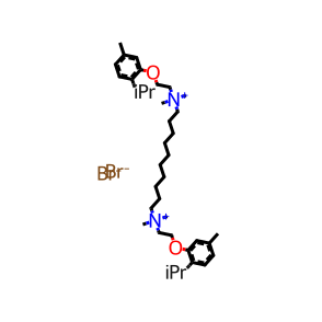 Cc1ccc(C(C)C)c(OCC[N+](C)(C)CCCCCCCCCC[N+](C)(C)CCOc2cc(C)ccc2C(C)C)c1.[Br-].[Br-]